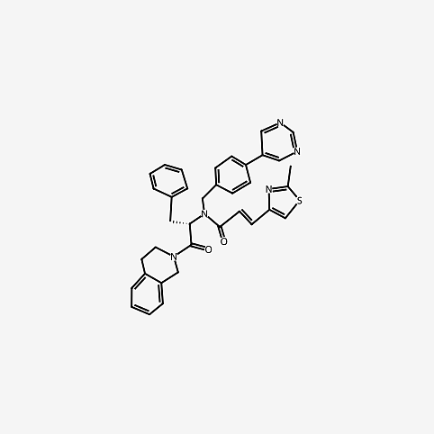 Cc1nc(C=CC(=O)N(Cc2ccc(-c3cncnc3)cc2)[C@@H](Cc2ccccc2)C(=O)N2CCc3ccccc3C2)cs1